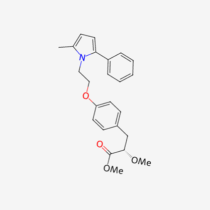 COC(=O)[C@H](Cc1ccc(OCCn2c(C)ccc2-c2ccccc2)cc1)OC